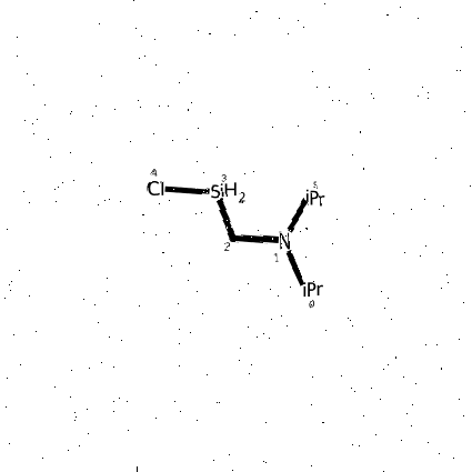 CC(C)N(C[SiH2]Cl)C(C)C